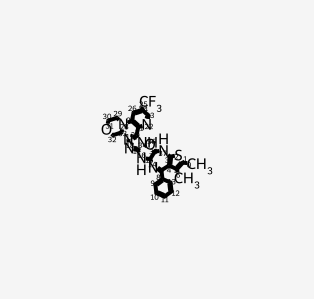 Cc1sc2c(c1C)C(c1ccccc1)=NC(Nc1nnc(-c3ncc(C(F)(F)F)cc3N3CCOCC3)[nH]1)C(=O)N2